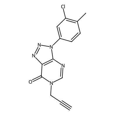 C#CCn1cnc2c(nnn2-c2ccc(C)c(Cl)c2)c1=O